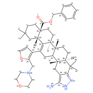 CC1(C)CC[C@]2(C(=O)OCc3ccccc3)CC[C@]3(C)C(=C(c4ccoc4CN4CCOCC4)CC4[C@@]5(C)Cc6c(n[nH]c6N)C(C)(C)[C@@H]5CC[C@]43C)[C@@H]2C1